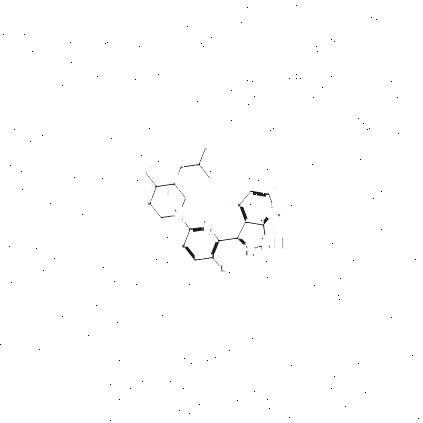 CC(C)C[C@H]1CN(c2ccc(F)c(-c3n[nH]c4ncccc34)n2)CCC1C